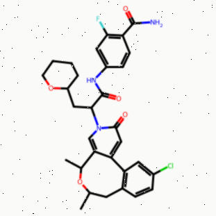 CC1Cc2ccc(Cl)cc2-c2cc(=O)n(C(CC3CCCCO3)C(=O)Nc3ccc(C(N)=O)c(F)c3)cc2C(C)O1